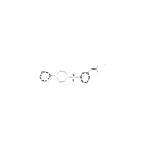 CC(=Cc1cccc(S(=O)(=O)N2CCN(c3ccccn3)CC2)c1)C(=O)O